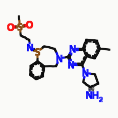 Cc1ccc2nc(N3CCS(=NCCS(C)(=O)=O)c4ccccc4C3)nc(N3CC[C@H](N)C3)c2c1